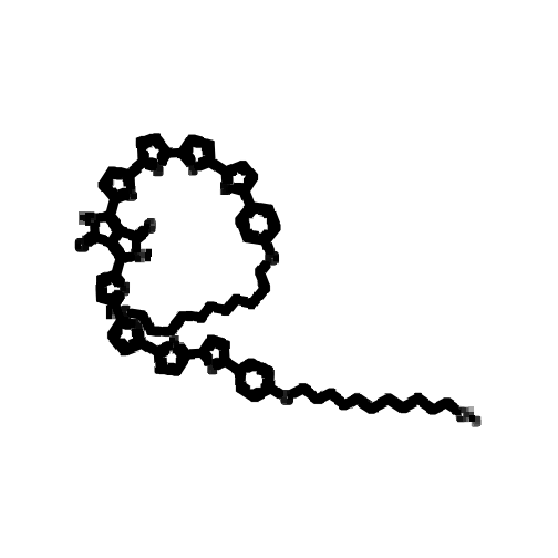 CCCCCCCCCCCCOc1ccc(-c2ccc(-c3ccc(-c4ccc(-c5ccc(C6=C7C(=O)NC(c8ccc(-c9ccc(-c%10ccc(-c%11ccc(-c%12ccc(OCCCCCCCCCCCC)cc%12)s%11)s%10)s9)s8)=C7C(=O)N6)s5)s4)s3)s2)cc1